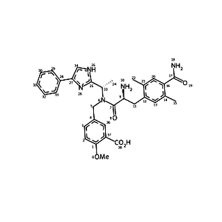 COc1ccc(CN(C(=O)[C@@H](N)Cc2cc(C)c(C(N)=O)cc2C)[C@@H](C)c2nc(-c3ccccc3)c[nH]2)cc1C(=O)O